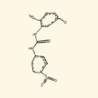 O=C(Nc1ccc([SH](=O)=O)cc1)Nc1cc(Cl)ccc1O